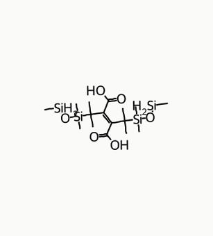 C[SiH2]O[Si](C)(C)C(C)(C)/C(C(=O)O)=C(\C(=O)O)C(C)(C)[Si](C)(C)O[SiH2]C